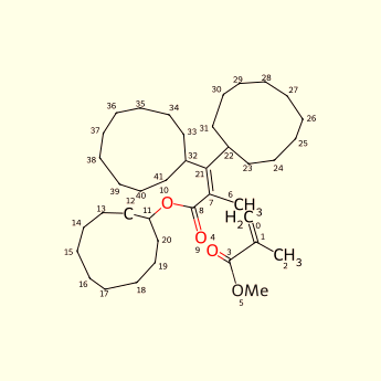 C=C(C)C(=O)OC.CC(C(=O)OC1CCCCCCCCC1)=C(C1CCCCCCCCC1)C1CCCCCCCCC1